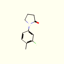 Cc1ccc(N2CCCC2=O)cc1Cl